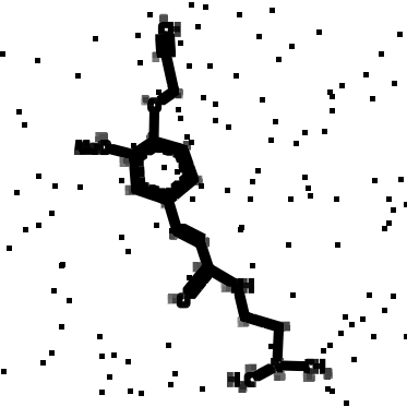 C#CCOc1ccc(/C=C/C(=O)NCCN(C)C)cc1OC